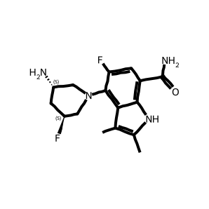 Cc1[nH]c2c(C(N)=O)cc(F)c(N3C[C@@H](N)C[C@H](F)C3)c2c1C